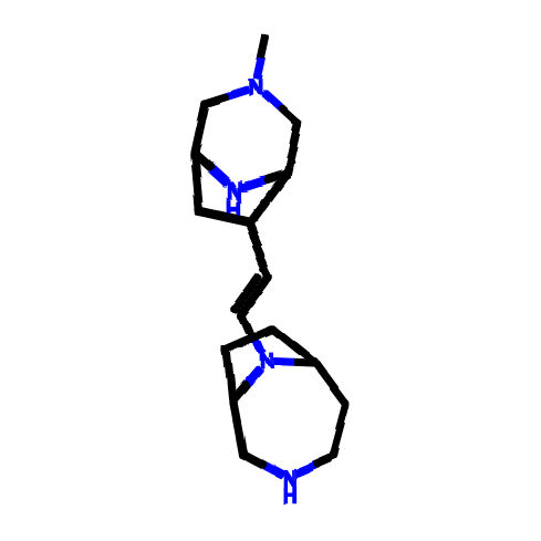 CN1CC2CC(/C=C/N3C4CCNCC3CC4)C(C1)N2